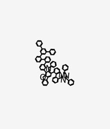 c1ccc(-c2cc(-c3ccccc3)cc(-c3ccccc3-c3ccccc3-c3cccc4c5c6oc7ccccc7c6cc(-c6ccccc6-c6ccccc6-c6nc(-c7ccccc7)nc(-c7ccccc7)n6)c5n(-c5ccccc5)c34)c2)cc1